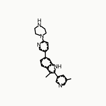 Cc1cncc(-c2[nH]c3cc(-c4ccc(N5CCNCC5)nc4)ccc3c2C)c1